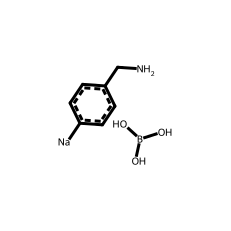 NCc1cc[c]([Na])cc1.OB(O)O